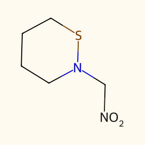 O=[N+]([O-])CN1CCCCS1